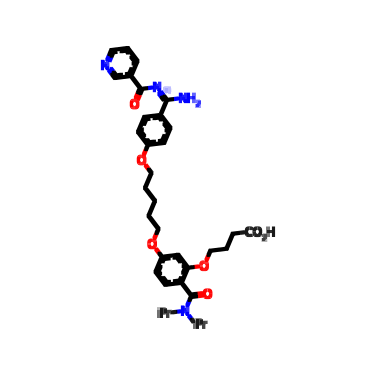 CC(C)N(C(=O)c1ccc(OCCCCCOc2ccc(/C(N)=N\C(=O)c3cccnc3)cc2)cc1OCCCC(=O)O)C(C)C